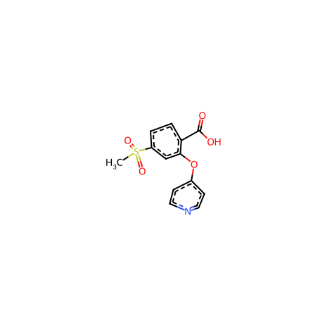 CS(=O)(=O)c1ccc(C(=O)O)c(Oc2ccncc2)c1